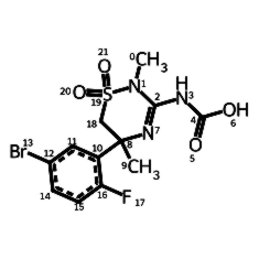 CN1C(NC(=O)O)=NC(C)(c2cc(Br)ccc2F)CS1(=O)=O